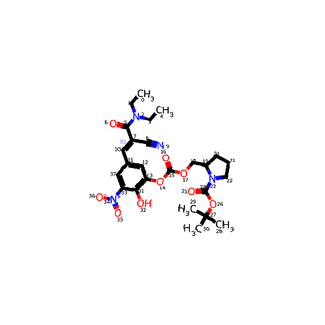 CCN(CC)C(=O)/C(C#N)=C/c1cc(OC(=O)OCC2CCCN2C(=O)OC(C)(C)C)c(O)c([N+](=O)[O-])c1